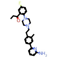 CCC(=O)c1cc(F)ccc1N1CCN(CCc2ccc(-c3cccc(N)n3)cc2C)CC1